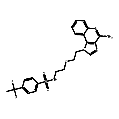 CC(F)(F)c1ccc(S(=O)(=O)NCCOCCn2cnc3c(N)nc4ccccc4c32)cc1